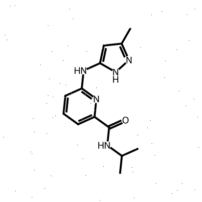 Cc1cc(Nc2cccc(C(=O)NC(C)C)n2)[nH]n1